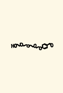 O=Cc1ccc(OCCOCCOCCOCCO)cc1